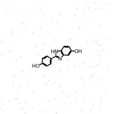 Oc1ccc(-c2nc3cc(O)ccc3[nH]2)cc1